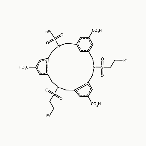 CCCS(=O)(=O)N1Cc2cc(cc(C(=O)O)c2)CN(S(=O)(=O)CCC(C)C)Cc2cc(cc(C(=O)O)c2)CN(S(=O)(=O)CCC(C)C)Cc2cc(cc(C(=O)O)c2)C1